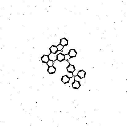 c1ccc([Si](c2ccccc2)(c2ccccc2)c2ccc(-n3c4ccccc4c4ccc(-n5c6ccccc6c6cccc(-c7ccc8c(c7)sc7ccccc78)c65)cc43)cc2)cc1